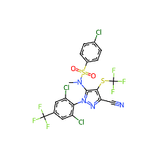 CN(c1c(SC(F)(F)F)c(C#N)nn1-c1c(Cl)cc(C(F)(F)F)cc1Cl)S(=O)(=O)c1ccc(Cl)cc1